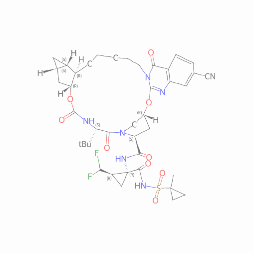 CC(C)(C)[C@@H]1NC(=O)O[C@@H]2C[C@@H]3C[C@@H]3[C@H]2CCCCCn2c(nc3cc(C#N)ccc3c2=O)O[C@@H]2C[C@@H](C(=O)N[C@]3(C(=O)NS(=O)(=O)C4(C)CC4)C[C@H]3C(F)F)N(C2)C1=O